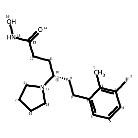 Cc1c(F)cccc1CC[C@@H](CCC(=O)NO)N1CCCC1